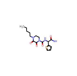 CCCCCN1CCN(C(=O)NC(C([NH])=O)c2cccs2)C(=O)C1=O